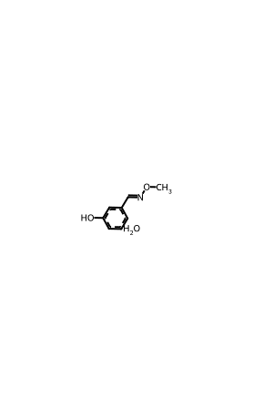 CON=Cc1cccc(O)c1.O